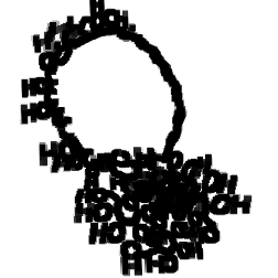 C[C@@H]1[C@H](O)[C@@H](C)/C=C/C=C/C=C/C=C/C=C/C=C/C=C/[C@H](O[C@@H]2O[C@H](C)[C@@H](O)[C@H](N)[C@@H]2O)C[C@@H]2O[C@](O)(C[C@@H](O)C[C@@H](O)[C@H](O)CC[C@@H](O)C[C@@H](O)CC(=O)O[C@H]1C)C[C@H](O)[C@H]2NC(=O)NC(COC1O[C@H](CO)[C@@H](O)[C@H](O)[C@@H]1O)(CO[C@H]1O[C@H](CO)[C@@H](O)[C@H](O)[C@@H]1O)CO[C@H]1O[C@H](CO)[C@@H](O)[C@H](O)[C@@H]1O